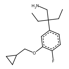 CCC(CC)(CN)c1ccc(F)c(OCC2CC2)c1